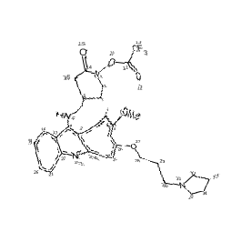 COc1cc2c(NC3CCN(OC(=O)C(F)(F)F)C(=O)C3)c3ccccc3nc2cc1OCCCN1CCCC1